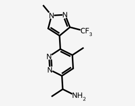 Cc1cc(C(C)N)nnc1-c1cn(C)nc1C(F)(F)F